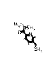 CCc1ccc(C(=O)N(C)C)nc1